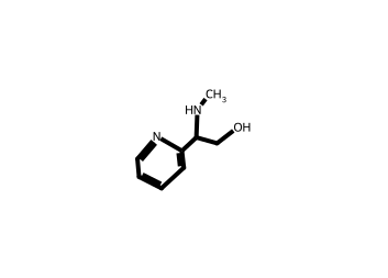 CNC(CO)c1ccccn1